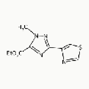 CCOC(=O)c1nc(-c2cscn2)nn1C